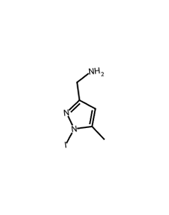 Cc1cc(CN)nn1I